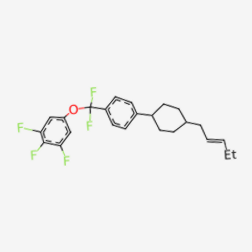 CCC=CCC1CCC(c2ccc(C(F)(F)Oc3cc(F)c(F)c(F)c3)cc2)CC1